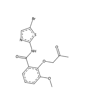 COc1cccc(C(=O)Nc2ncc(Br)s2)c1OCC(C)=O